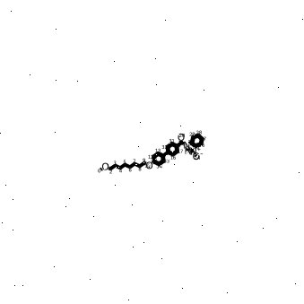 COCCCCCCCCOc1ccc(-c2ccc(C(=O)n3n[n+]([O-])c4ccccc43)cc2)cc1